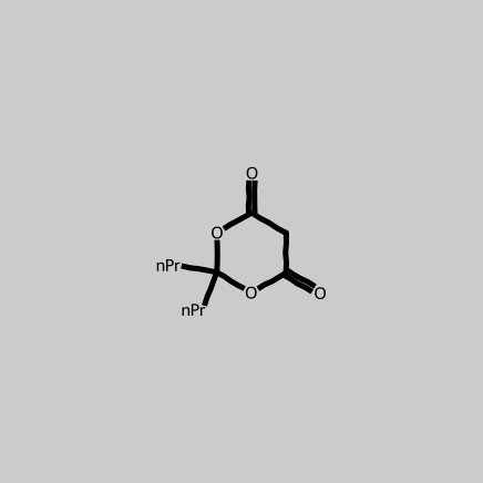 CCCC1(CCC)OC(=O)CC(=O)O1